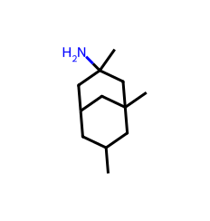 CC1CC2CC(C)(N)CC(C)(C1)C2